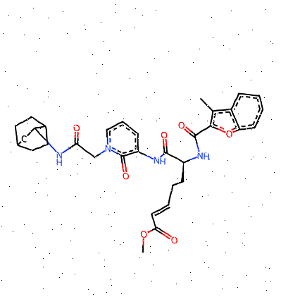 COC(=O)/C=C/CC[C@H](NC(=O)c1oc2ccccc2c1C)C(=O)Nc1cccn(CC(=O)NC2CC3CCC2CC3)c1=O